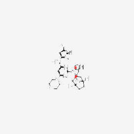 Cc1cc(Nc2cc(N3CCOCC3)nc(N(C)[C@@H]3C[C@H]4CC[C@@H](C3)N4CCC#N)n2)n[nH]1